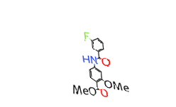 COC(=O)c1ccc(NC(=O)c2cccc(F)c2)cc1OC